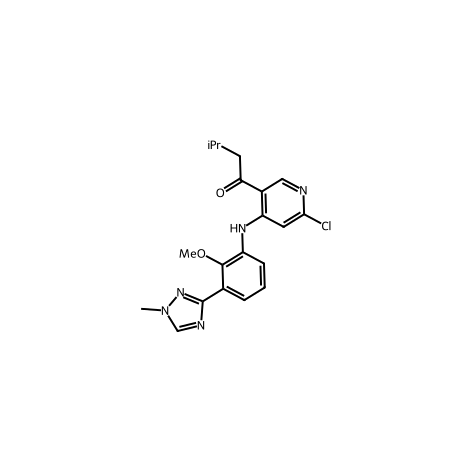 COc1c(Nc2cc(Cl)ncc2C(=O)CC(C)C)cccc1-c1ncn(C)n1